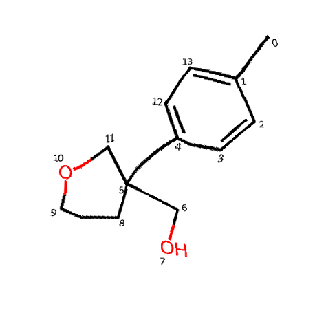 Cc1ccc(C2(CO)CCOC2)cc1